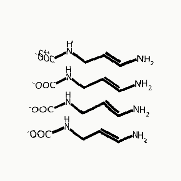 NC=CCNC(=O)[O-].NC=CCNC(=O)[O-].NC=CCNC(=O)[O-].NC=CCNC(=O)[O-].[C+4]